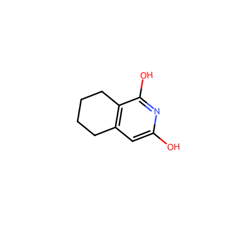 Oc1cc2c(c(O)n1)CCCC2